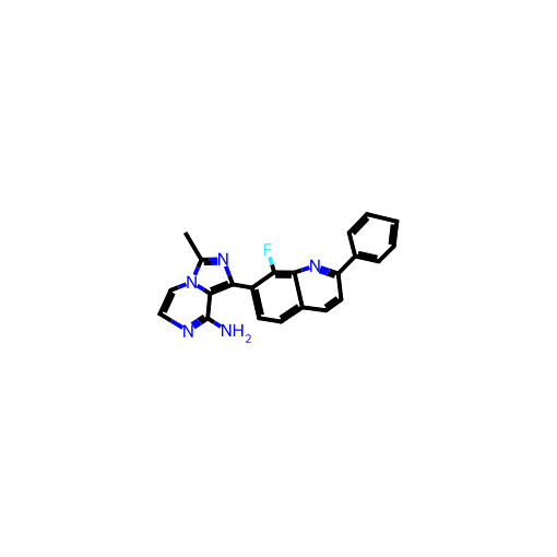 Cc1nc(-c2ccc3ccc(-c4ccccc4)nc3c2F)c2c(N)nccn12